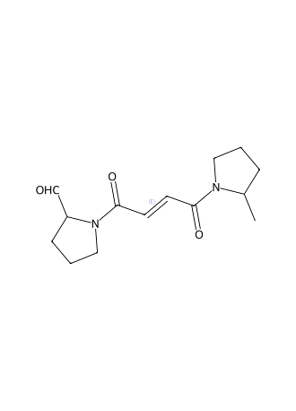 CC1CCCN1C(=O)/C=C/C(=O)N1CCCC1C=O